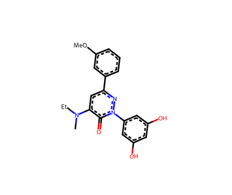 CCN(C)c1cc(-c2cccc(OC)c2)nn(-c2cc(O)cc(O)c2)c1=O